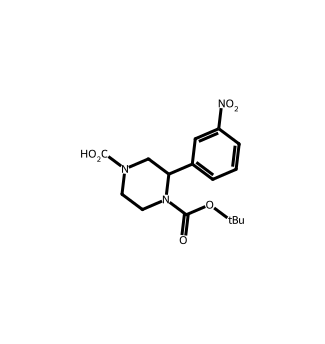 CC(C)(C)OC(=O)N1CCN(C(=O)O)CC1c1cccc([N+](=O)[O-])c1